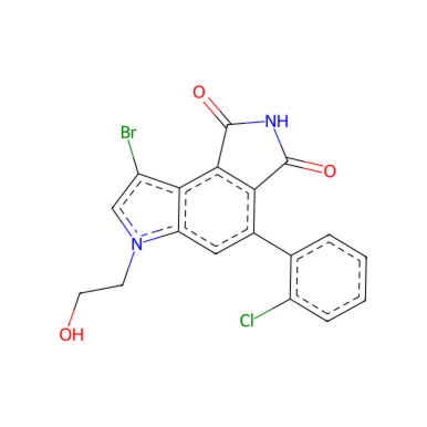 O=C1NC(=O)c2c1c(-c1ccccc1Cl)cc1c2c(Br)cn1CCO